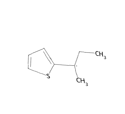 CC[C](C)c1cccs1